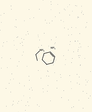 C1=CCCCC1.CCN.N